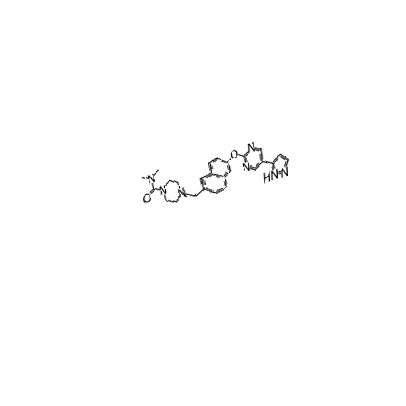 CN(C)C(=O)N1CCN(Cc2ccc3cc(Oc4ncc(-c5ccn[nH]5)cn4)ccc3c2)CC1